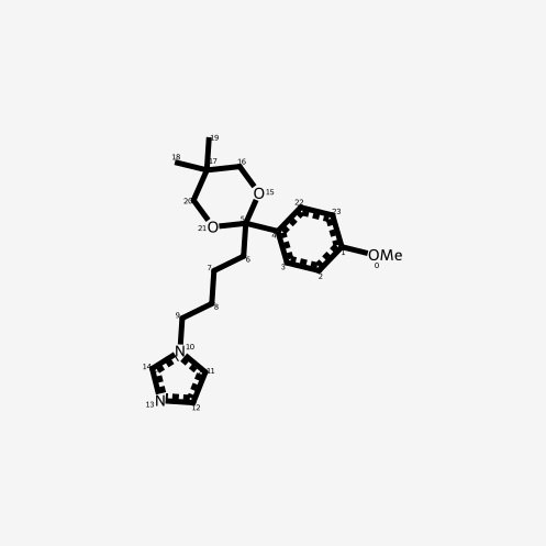 COc1ccc(C2(CCCCn3ccnc3)OCC(C)(C)CO2)cc1